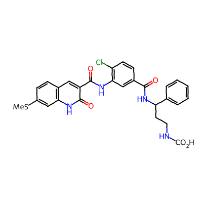 CSc1ccc2cc(C(=O)Nc3cc(C(=O)NC(CCNC(=O)O)c4ccccc4)ccc3Cl)c(=O)[nH]c2c1